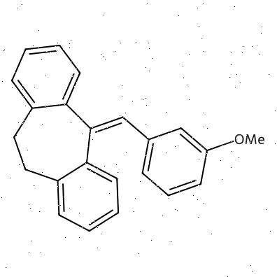 COc1cccc(C=C2c3ccccc3CCc3ccccc32)c1